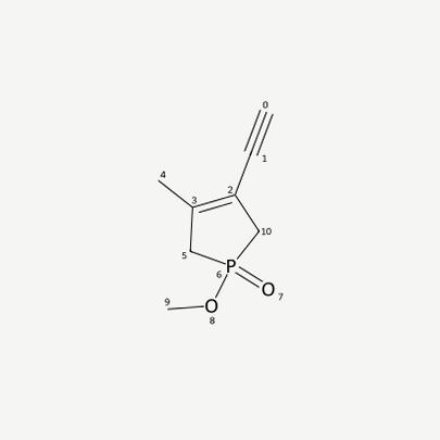 C#CC1=C(C)CP(=O)(OC)C1